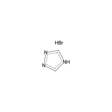 Br.c1nnc[nH]1